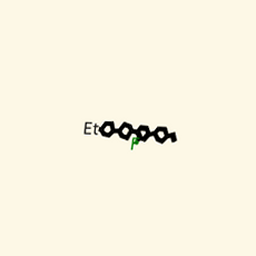 C=CC1CCC(c2ccc(C3CCC(C4CCC(CC)CC4)CC3)c(F)c2)CC1